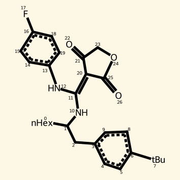 CCCCCCC(Cc1ccc(C(C)(C)C)cc1)NC(Nc1ccc(F)cc1)=C1C(=O)COC1=O